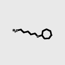 [CH2]CCCCCOC1CC[CH]CCC1